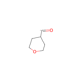 O=[C]C1CCOCC1